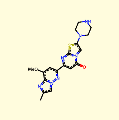 COc1cc(-c2cc(=O)n3cc(N4CCNCC4)sc3n2)nn2cc(C)nc12